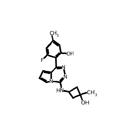 Cc1cc(O)c(-c2nnc(NC3CC(C)(O)C3)n3cccc23)c(F)c1